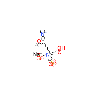 CC[N+](CC)=c1ccc2c(C=CC=CC=C3N(CCCS(=O)(=O)[O-])c4ccc(S(=O)(=O)[O-])cc4C3(C)CCCC(=O)O)cc(C(C)(C)C)oc-2c1.[Na+]